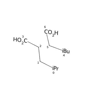 CC(C)CCC(=O)O.CCC(C)CC(=O)O